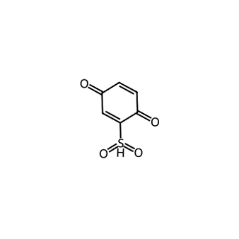 O=C1C=CC(=O)C([SH](=O)=O)=C1